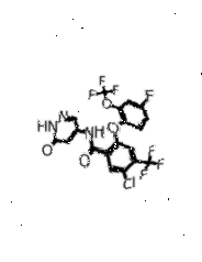 O=C(Nc1cn[nH]c(=O)c1)c1cc(Cl)c(C(F)(F)F)cc1Oc1ccc(F)cc1OC(F)(F)F